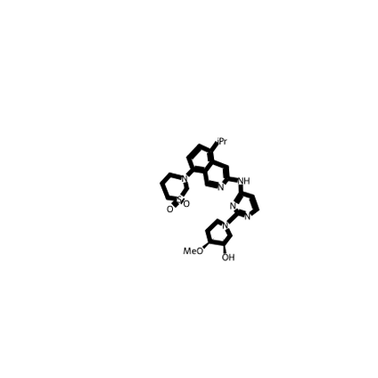 CO[C@H]1CCN(c2nccc(Nc3cc4c(C(C)C)ccc(N5CCCS(=O)(=O)C5)c4cn3)n2)C[C@H]1O